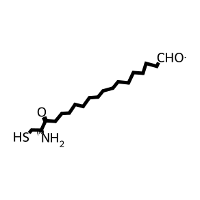 N[C@@H](CS)C(=O)CCCCCCCCCCCCCCC[C]=O